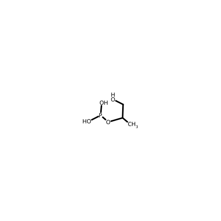 CC(CO)OP(O)O